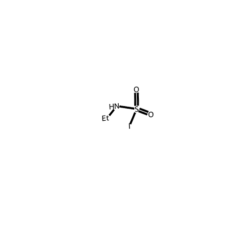 CCNS(=O)(=O)I